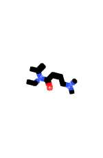 C=C(C)N(CC)C(=O)/C=C\CN(C)C